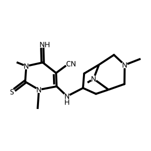 CN1CC2CC(Nc3c(C#N)c(=N)n(C)c(=S)n3C)CC(C1)N2C